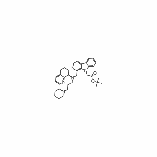 CC(C)(C)OC(=O)Cn1c2ccccc2c2ccnc(CN(CCCN3CCCCC3)C3CCCc4cccnc43)c21